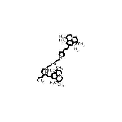 C=C/C=C(\C=C/NCCSSCC[n+]1ccc(/C=C/c2cc3c4c(c2)C(C)(C)CCN4CCC3(C)C)cc1)/C=C/c1cc2c3c(c1)C(C)(C)CCN3CCC2(C)C